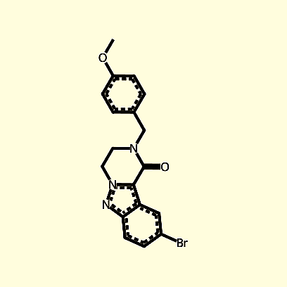 COc1ccc(CN2CCn3nc4ccc(Br)cc4c3C2=O)cc1